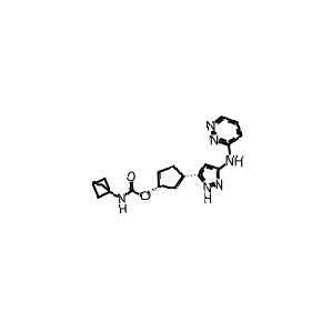 O=C(NC12CC(C1)C2)O[C@@H]1CC[C@H](c2cc(Nc3cccnn3)n[nH]2)C1